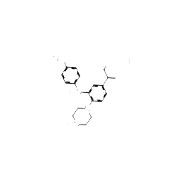 CCC(CC(=O)O)c1ccc(N2CCNCC2)c(Nc2ccc(C#N)cc2)c1